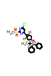 CC(C)(C)[Si](OC1C[C@@H]2C(c3cc(Cl)nc(S(C)(=O)=O)n3)[C@@H]2C1)(c1ccccc1)c1ccccc1